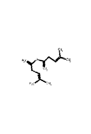 C=C(CC=C(C)C)OC(=C)CC=C(C)C